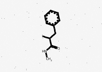 CNC(=O)C(I)Cc1ccccc1